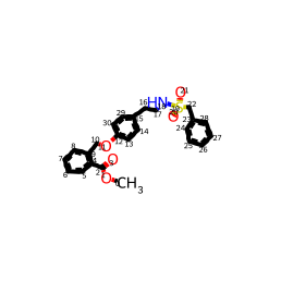 COC(=O)c1ccccc1COc1ccc(CCNS(=O)(=O)Cc2ccccc2)cc1